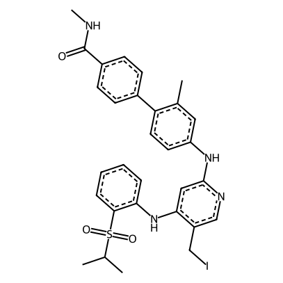 CNC(=O)c1ccc(-c2ccc(Nc3cc(Nc4ccccc4S(=O)(=O)C(C)C)c(CI)cn3)cc2C)cc1